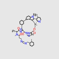 CCc1ccncc1-c1c2c3cc(ccc3n1CC)-c1cccc(c1)C[C@H](NC(=O)[C@H](C(C)C)N(C)C(=O)CCN=C=NCc1ccccc1C)C(=O)N1CCC[C@H](N1)C(=O)OCC(C)(C)C2